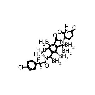 Bc1c(B)c(C(B)N(B)C(=O)C(F)(F)c2ccc(Cl)cc2)c(B)c2c1C(=O)N(C1CCC(=O)NC1=O)C2(B)B